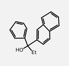 CCC(O)(c1ccccc1)c1ccc2ccccc2c1